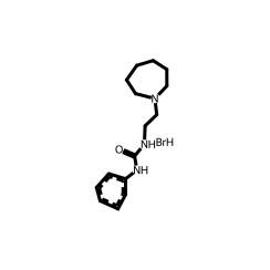 Br.O=C(NCCN1CCCCCC1)Nc1ccccc1